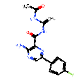 C=C(NC(C)=O)NC(=O)c1nc(-c2ccc(F)cc2)cnc1N